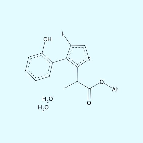 CC(C(=O)[O][Al])c1scc(I)c1-c1ccccc1O.O.O